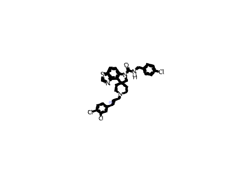 O=C(NCc1ccc(Cl)cc1)N1CC2(CCN(C/C=C/c3ccc(Cl)c(Cl)c3)CC2)c2c1ccc1scnc21